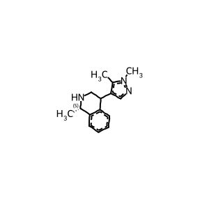 Cc1c(C2CN[C@@H](C)c3ccccc32)cnn1C